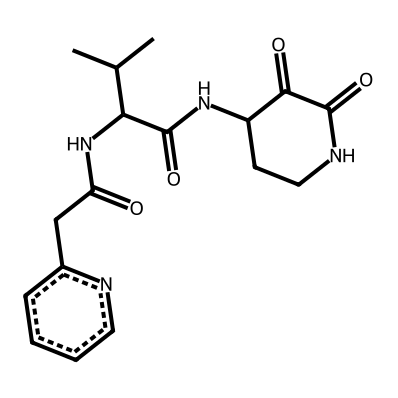 CC(C)C(NC(=O)Cc1ccccn1)C(=O)NC1CCNC(=O)C1=O